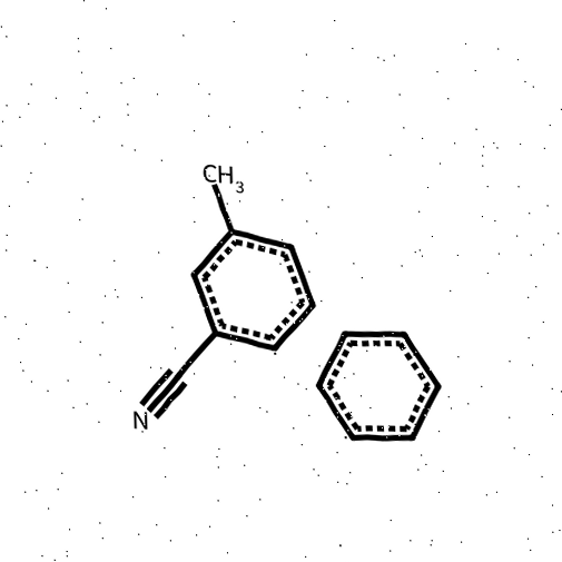 Cc1cc[c]c(C#N)c1.[c]1ccccc1